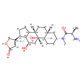 CC(C)[C@@H](N)C(=O)N(C)[C@@H]1CC[C@]2(C)[C@H](CC[C@@H]3[C@H]2C[C@@H](O)[C@@]2(C)[C@@H](C4=CC(=O)OC4)CC[C@@]32O)C1